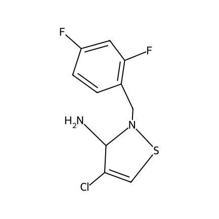 NC1C(Cl)=CSN1Cc1ccc(F)cc1F